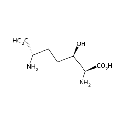 N[C@H](C(=O)O)[C@H](O)CC[C@H](N)C(=O)O